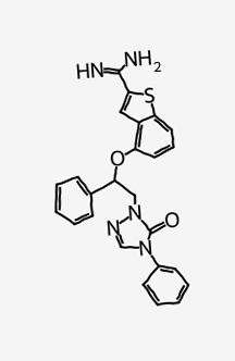 N=C(N)c1cc2c(OC(Cn3ncn(-c4ccccc4)c3=O)c3ccccc3)cccc2s1